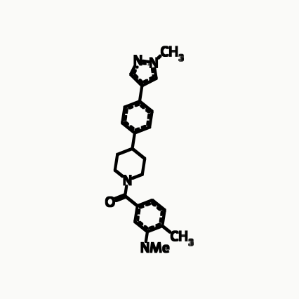 CNc1cc(C(=O)N2CCC(c3ccc(-c4cnn(C)c4)cc3)CC2)ccc1C